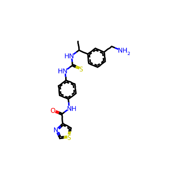 CC(NC(=S)Nc1ccc(NC(=O)c2cscn2)cc1)c1cccc(CN)c1